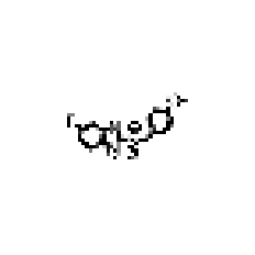 COc1ccc(CS(=O)(=O)c2nc3cc(F)ccc3n2C)cc1